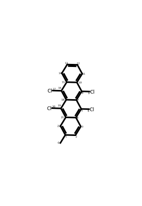 Cc1ccc2c(Cl)c3c(Cl)c4ccccc4c(Cl)c3c(Cl)c2c1